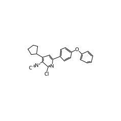 [C-]#[N+]c1c(C2CCCC2)cc(-c2ccc(Oc3ccccc3)cc2)nc1Cl